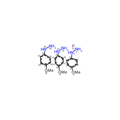 COc1ccc(NN)cc1.COc1ccc(NN)cc1.COc1ccc(NN)cc1.[P]